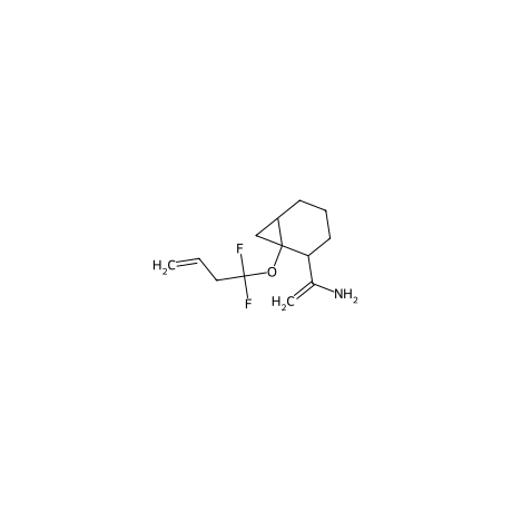 C=CCC(F)(F)OC12CC1CCCC2C(=C)N